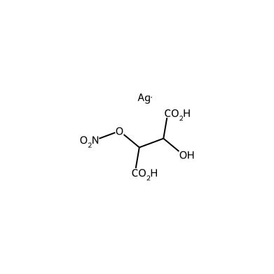 O=C(O)C(O)C(O[N+](=O)[O-])C(=O)O.[Ag]